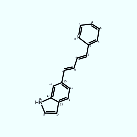 C(/C=C/c1ccccn1)=C\c1ccc2cc[nH]c2c1